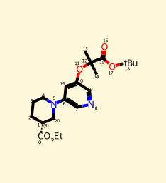 CCOC(=O)[C@@H]1CCCN(c2cncc(OC(C)(C)C(=O)OC(C)(C)C)c2)C1